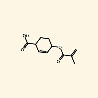 C=C(C)C(=O)OC1C=CC(C(=O)O)CC1